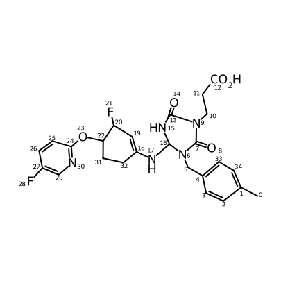 Cc1ccc(CN2C(=O)N(CCC(=O)O)C(=O)NC2NC2=CC(F)C(Oc3ccc(F)cn3)CC2)cc1